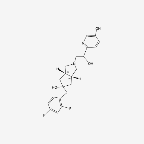 Oc1ccc(C(O)CN2C[C@@H]3CC(O)(Cc4ccc(F)cc4F)C[C@@H]3C2)nc1